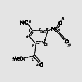 COC(=O)c1cc(C#N)cc([SH](=O)=O)c1